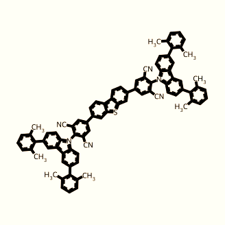 Cc1cccc(C)c1-c1ccc2c(c1)c1cc(-c3c(C)cccc3C)ccc1n2-c1c(C#N)cc(-c2ccc3c(c2)sc2cc(-c4cc(C#N)c(-n5c6ccc(-c7c(C)cccc7C)cc6c6cc(-c7c(C)cccc7C)ccc65)c(C#N)c4)ccc23)cc1C#N